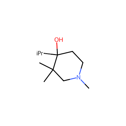 CC(C)C1(O)CCN(C)CC1(C)C